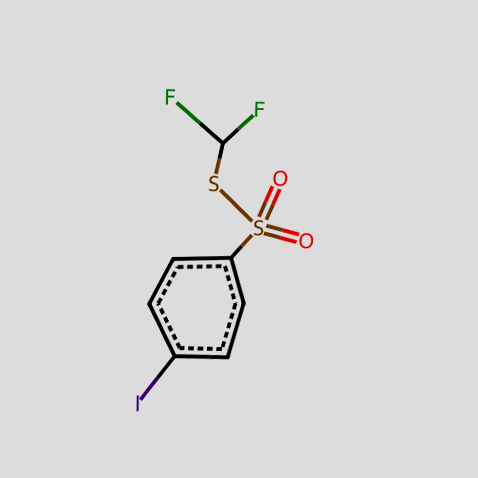 O=S(=O)(SC(F)F)c1ccc(I)cc1